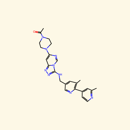 CC(=O)N1CCN(c2cc3nnc(NCc4cnc(-c5ccnc(C)c5)c(C)c4)n3cn2)CC1